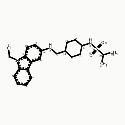 CCn1c2ccccc2c2cc(NCC3CCC(NS(=O)(=O)C(C)C)CC3)ccc21